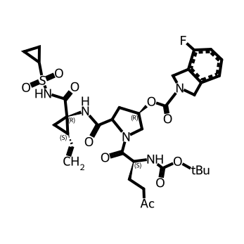 C=C[C@@H]1C[C@]1(NC(=O)C1C[C@@H](OC(=O)N2Cc3cccc(F)c3C2)CN1C(=O)[C@H](CCC(C)=O)NC(=O)OC(C)(C)C)C(=O)NS(=O)(=O)C1CC1